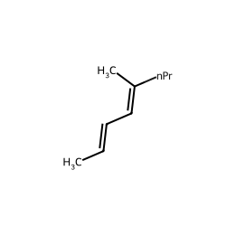 CC=CC=C(C)CCC